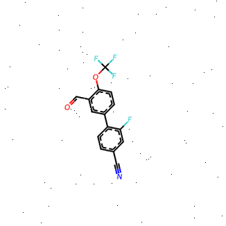 N#Cc1ccc(-c2ccc(OC(F)(F)F)c(C=O)c2)c(F)c1